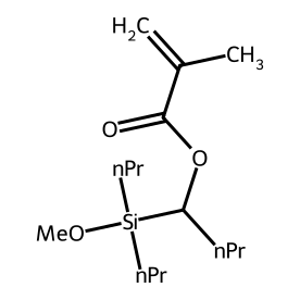 C=C(C)C(=O)OC(CCC)[Si](CCC)(CCC)OC